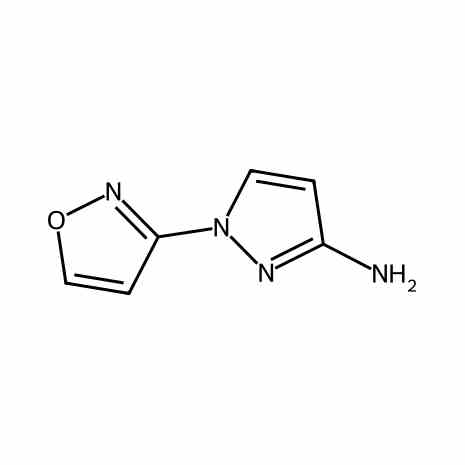 Nc1ccn(-c2ccon2)n1